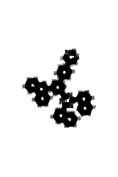 c1ccc2c(-c3nc(-c4cc(-c5ccc(-c6cncnc6)cc5)cc(-c5cc6ccccc6c6ccccc56)c4)nc(-c4cccc5ccccc45)n3)cccc2c1